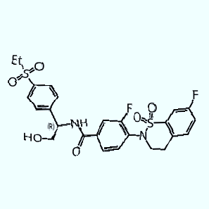 CCS(=O)(=O)c1ccc([C@H](CO)NC(=O)c2ccc(N3CCc4ccc(F)cc4S3(=O)=O)c(F)c2)cc1